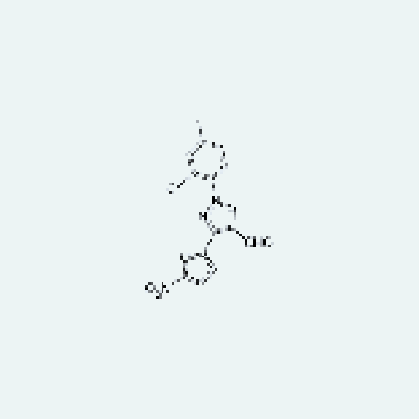 Cc1ccc(-n2cc(C=O)c(-c3ccc([N+](=O)[O-])o3)n2)c(Cl)c1